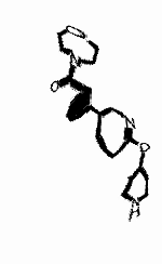 O=C(C=Cc1ccc(OC2CCNCC2)nc1)N1CCOCC1